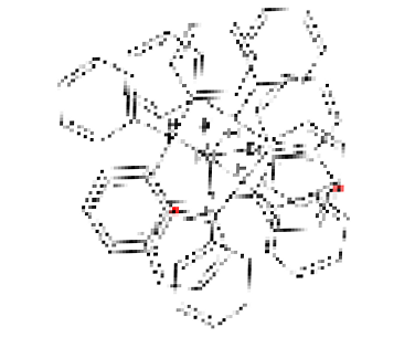 [Br][Pd]([Br])([PH](c1ccccc1)(c1ccccc1)c1ccccc1)([PH](c1ccccc1)(c1ccccc1)c1ccccc1)([PH](c1ccccc1)(c1ccccc1)c1ccccc1)[PH](c1ccccc1)(c1ccccc1)c1ccccc1